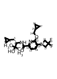 CC(C)(O)[C@H](CC1CC1)NC(=O)c1ccc(N2CC(F)(F)C2)c(OCC2CC2)n1